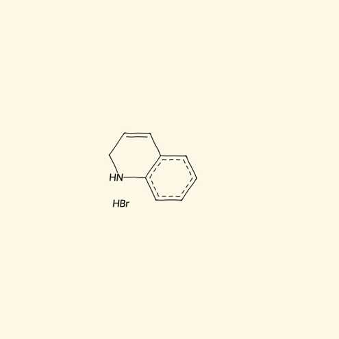 Br.C1=Cc2ccccc2NC1